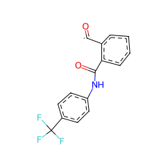 O=[C]c1ccccc1C(=O)Nc1ccc(C(F)(F)F)cc1